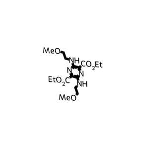 CCOC(=O)c1nc(NCCOC)c(C(=O)OCC)nc1NCCOC